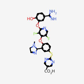 CN1CC=NC1c1cc(Sc2ncc(C(=O)O)cn2)ccc1Oc1c(F)cnc(Oc2cc(C(=N)N)ccc2O)c1F